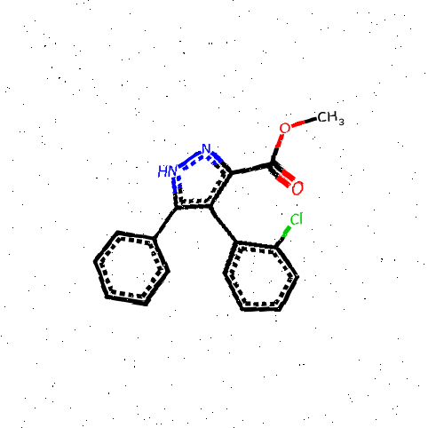 COC(=O)c1n[nH]c(-c2ccccc2)c1-c1ccccc1Cl